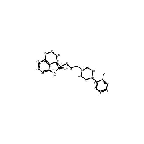 Cc1ccccc1N1CCN(CCCCC23CCCc4cccc(c42)NC3=O)CC1